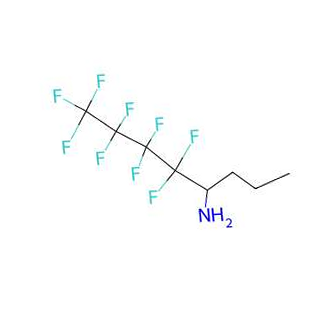 CCCC(N)C(F)(F)C(F)(F)C(F)(F)C(F)(F)F